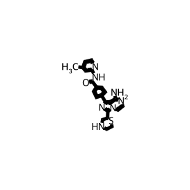 Cc1ccnc(NC(=O)c2ccc(-c3nc(C4CNCCS4)n4ccnc(N)c34)cc2)c1